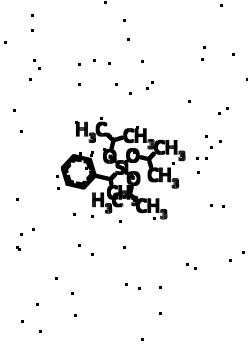 CC(C)O[Si](OC(C)C)(OC(C)C)C(C)c1ccccc1